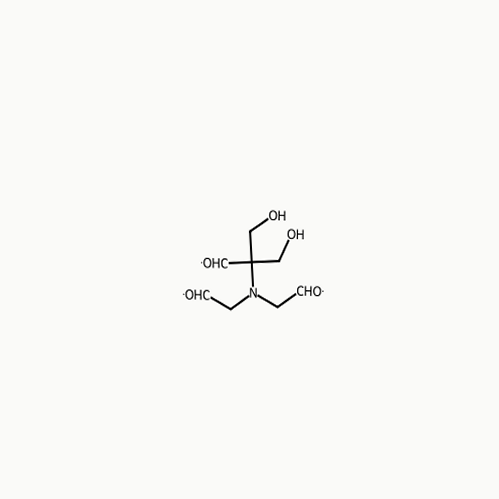 O=[C]CN(C[C]=O)C([C]=O)(CO)CO